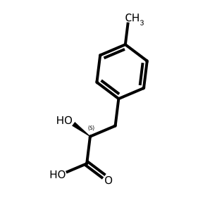 Cc1ccc(C[C@H](O)C(=O)O)cc1